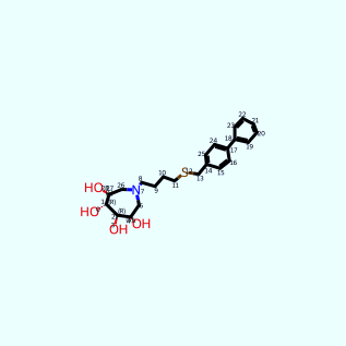 O[C@H]1[C@H](O)[C@@H](O)CN(CCCCSCc2ccc(-c3ccccc3)cc2)C[C@@H]1O